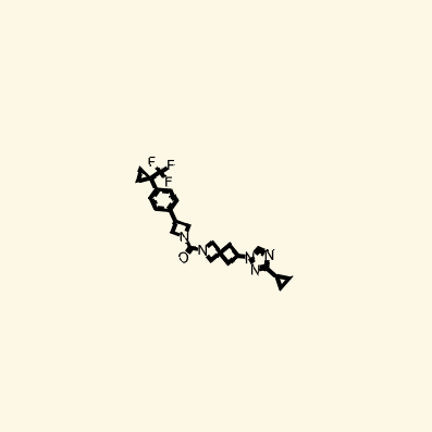 O=C(N1CC(c2ccc(C3(C(F)(F)F)CC3)cc2)C1)N1CC2(CC(n3cnc(C4CC4)n3)C2)C1